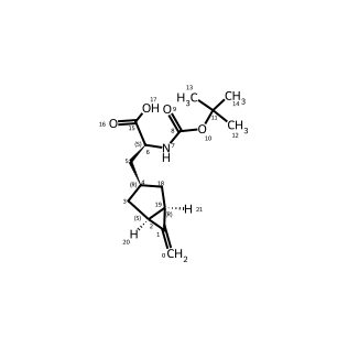 C=C1[C@H]2C[C@@H](C[C@H](NC(=O)OC(C)(C)C)C(=O)O)C[C@@H]12